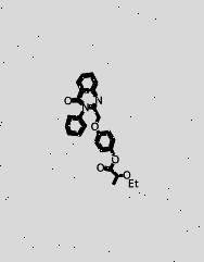 CCOC(C)C(=O)Oc1ccc(OCc2nc3ccccc3c(=O)n2-c2ccccc2)cc1